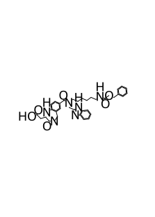 CN1Cc2cc(C(=O)N(CCCCCCNC(=O)OCc3ccccc3)Cc3nc4ccccc4[nH]3)ccc2NC(CC(=O)O)C1=O